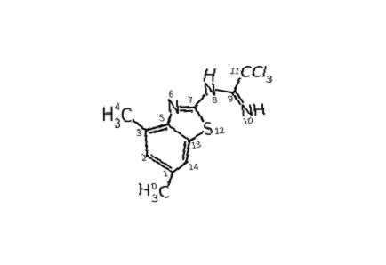 Cc1cc(C)c2nc(NC(=N)C(Cl)(Cl)Cl)sc2c1